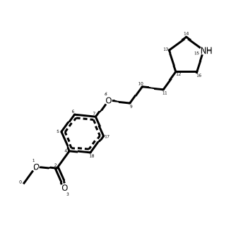 COC(=O)c1ccc(OCCCC2CCNC2)cc1